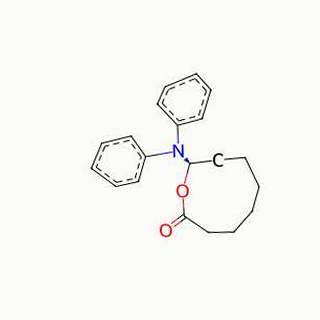 O=C1CCCCCC[C@H](N(c2ccccc2)c2ccccc2)O1